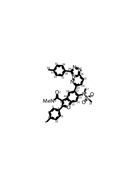 CNC(=O)c1c(-c2ccc(C)cc2)oc2cc(N(C)S(C)(=O)=O)c(-c3ccc4nnc(-c5ccc(C)cc5)n4n3)cc12